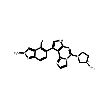 Cn1cc2c(Cl)c(-c3c[nH]c4nc(N5CC[C@@H](N)C5)n5ccnc5c34)ccc2n1